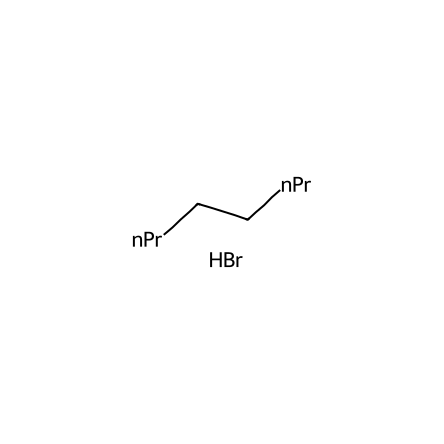 Br.CCCCCCCC